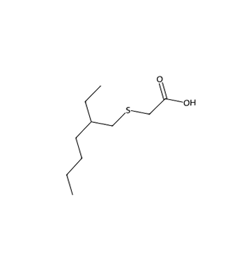 CCCCC(CC)CSCC(=O)O